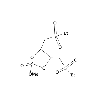 CCS(=O)(=O)CC1OP(=O)(OC)OC1CS(=O)(=O)CC